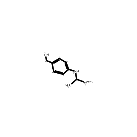 CCCCCC(C)Nc1ccc(CO)cc1